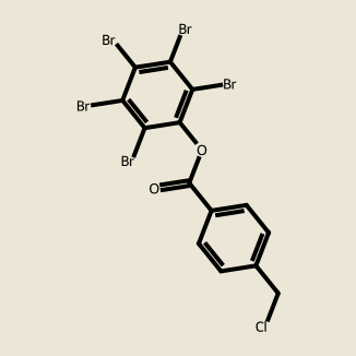 O=C(Oc1c(Br)c(Br)c(Br)c(Br)c1Br)c1ccc(CCl)cc1